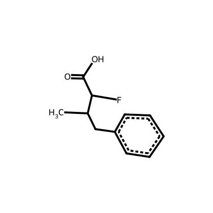 CC(Cc1ccccc1)C(F)C(=O)O